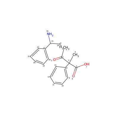 CC(=O)C(C)(C(=O)O)c1ccccc1.CC(N)c1ccccc1